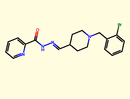 O=C(N/N=C/C1CCN(Cc2ccccc2Br)CC1)c1ccccn1